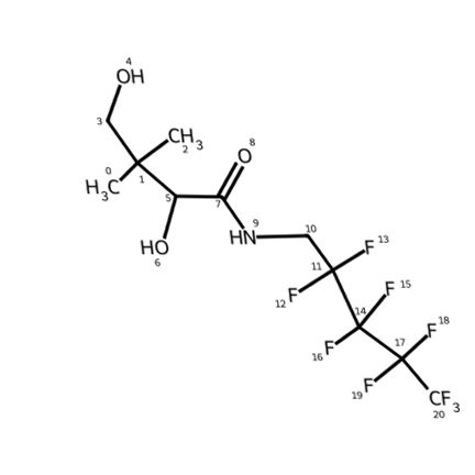 CC(C)(CO)C(O)C(=O)NCC(F)(F)C(F)(F)C(F)(F)C(F)(F)F